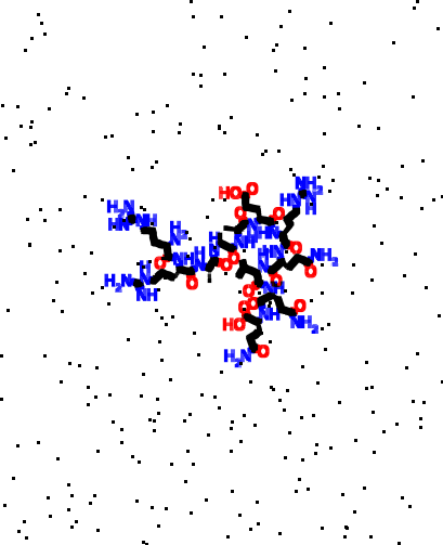 CC(C)[C@H](NC(=O)[C@H](CCC(N)=O)NC(=O)[C@H](CCCNC(=N)N)NC(=O)[C@H](CCC(=O)O)NC(=O)[C@H](C)NC(=O)[C@H](C)NC(=O)[C@H](C)NC(=O)[C@H](CCCNC(=N)N)NC(=O)[C@@H](N)CCCNC(=N)N)C(=O)N[C@@H](CCC(N)=O)C(=O)N[C@@H](CCC(N)=O)C(=O)O